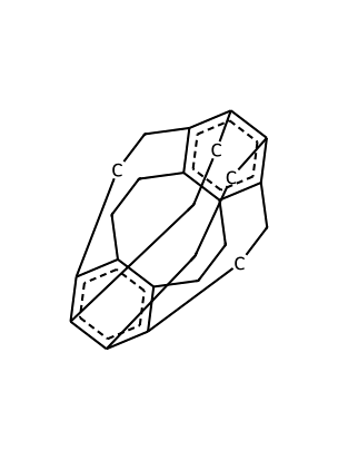 C1Cc2c3c4c5c6c2CCc2c1c(c(c(c2CC6)CC5)CC4)CC3